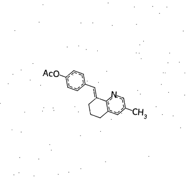 CC(=O)Oc1ccc(C=C2CCCc3cc(C)cnc32)cc1